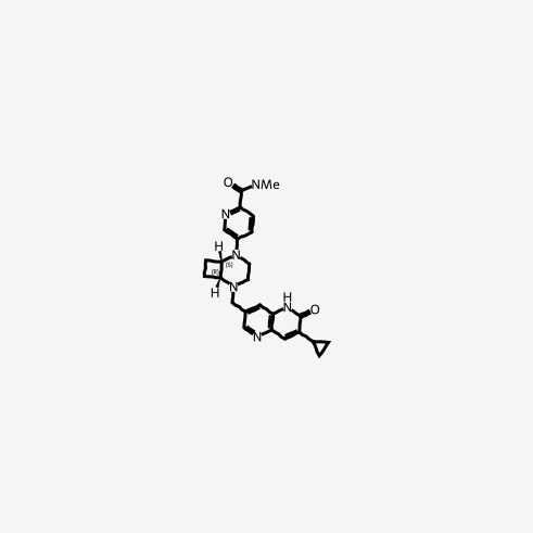 CNC(=O)c1ccc(N2CCN(Cc3cnc4cc(C5CC5)c(=O)[nH]c4c3)[C@@H]3CC[C@@H]32)cn1